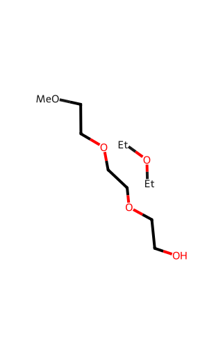 CCOCC.COCCOCCOCCO